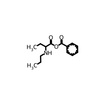 CCCNC(CC)C(=O)OC(=O)c1ccccc1